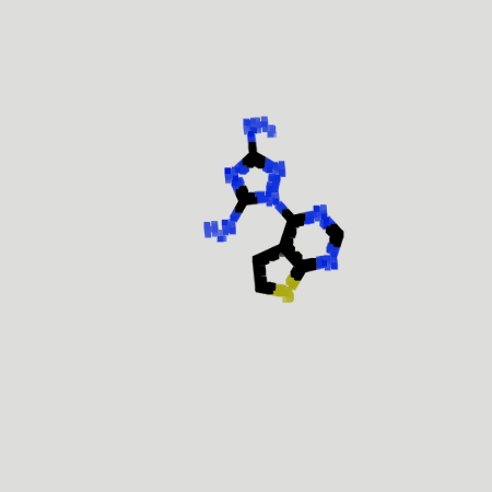 Nc1nc(N)n(-c2ncnc3sccc23)n1